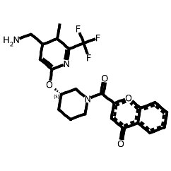 CC1C(C(F)(F)F)=NC(O[C@H]2CCCN(C(=O)c3cc(=O)c4ccccc4o3)C2)=CC1CN